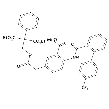 CCOC(=O)C(COC(=O)Cc1ccc(NC(=O)c2ccccc2-c2ccc(C(F)(F)F)cc2)c(C(=O)OC)c1)(C(=O)OCC)c1ccccc1